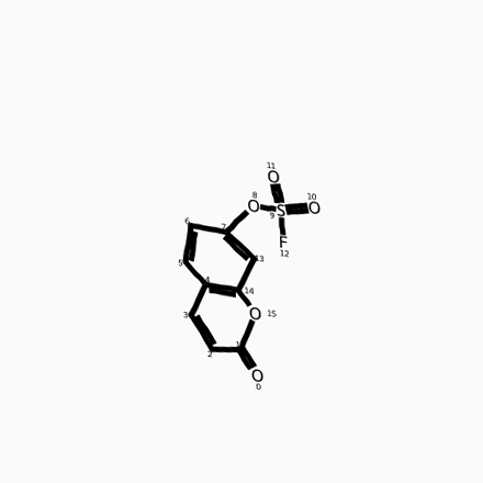 O=c1ccc2ccc(OS(=O)(=O)F)cc2o1